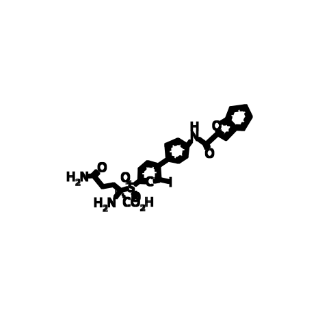 NC(=O)CC[C@@](N)(C(=O)O)S(=O)(=O)c1ccc(-c2ccc(NC(=O)c3cc4ccccc4o3)cc2)c(I)c1